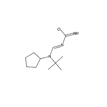 CC(C)(C)N(/C=N/C(=N)Cl)C1CCCC1